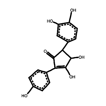 O=C1C(c2ccc(O)cc2)=C(O)C(O)C1c1ccc(O)c(O)c1